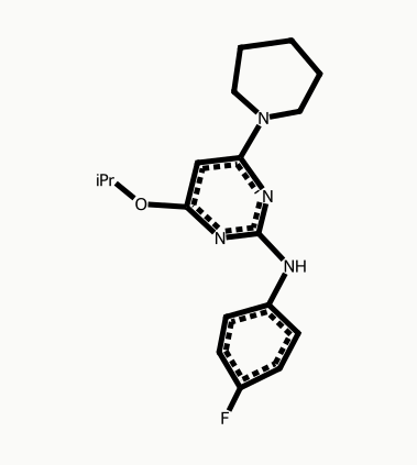 CC(C)Oc1cc(N2CCCCC2)nc(Nc2ccc(F)cc2)n1